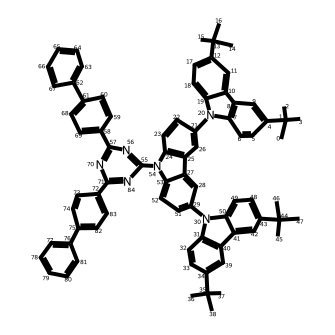 CC(C)(C)c1ccc2c(c1)c1cc(C(C)(C)C)ccc1n2-c1ccc2c(c1)c1cc(-n3c4ccc(C(C)(C)C)cc4c4cc(C(C)(C)C)ccc43)ccc1n2-c1nc(-c2ccc(-c3ccccc3)cc2)nc(-c2ccc(-c3ccccc3)cc2)n1